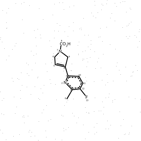 Cc1nc(C2=CCN(C(=O)O)C2)ccc1F